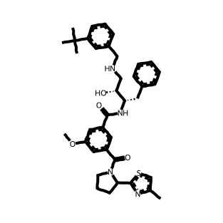 COc1cc(C(=O)N[C@@H](Cc2ccccc2)[C@H](O)CNCc2cccc(C(C)(C)C)c2)cc(C(=O)N2CCCC2c2nc(C)cs2)c1